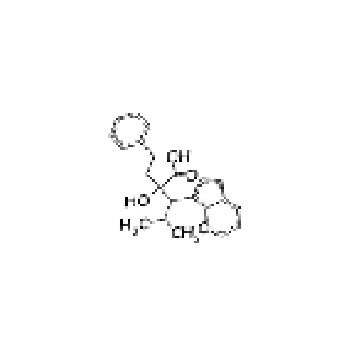 CC(C)C(c1ccc2cccoc1-2)C(O)(CCc1ccccc1)C(=O)O